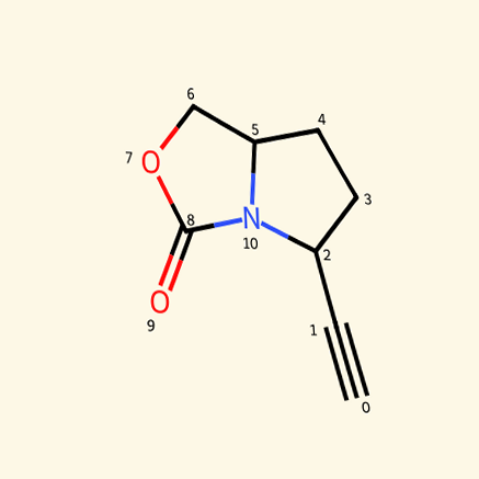 C#CC1CCC2COC(=O)N12